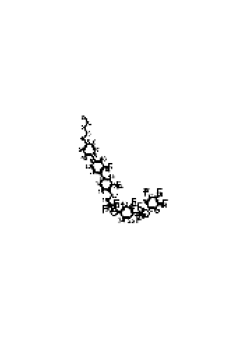 CCCCCc1ccc(-c2ccc(-c3ccc(CCC(F)(F)Oc4ccc(C(F)(F)Oc5cc(F)c(F)c(F)c5)c(F)c4)c(F)c3)c(F)c2)cc1